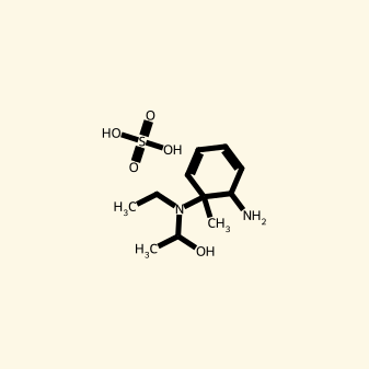 CCN(C(C)O)C1(C)C=CC=CC1N.O=S(=O)(O)O